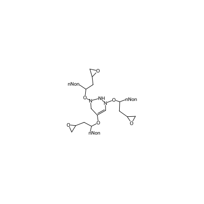 CCCCCCCCCC(CC1CO1)OC1=CN(OC(CCCCCCCCC)CC2CO2)NN(OC(CCCCCCCCC)CC2CO2)C1